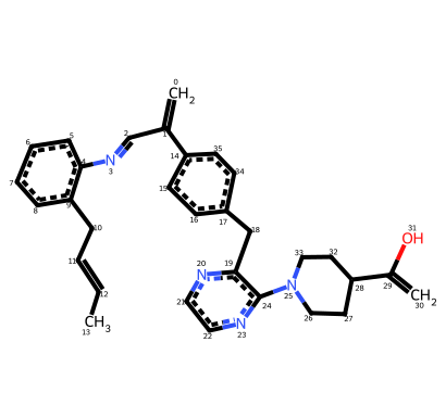 C=C(/C=N/c1ccccc1C/C=C/C)c1ccc(Cc2nccnc2N2CCC(C(=C)O)CC2)cc1